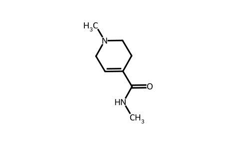 CNC(=O)C1=CCN(C)CC1